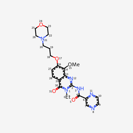 CCn1c(NC(=O)c2cnccn2)nc2c(OC)c(OCCCN3CCOCC3)ccc2c1=O